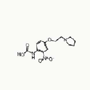 O=C(O)Nc1ccc(OCCN2CCCC2)cc1[N+](=O)[O-]